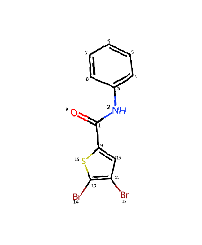 O=C(Nc1ccccc1)c1[c]c(Br)c(Br)s1